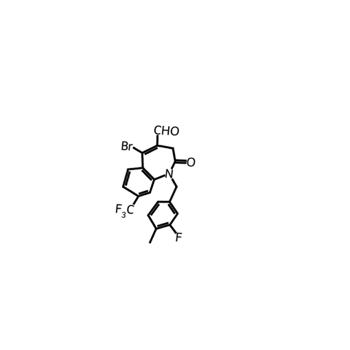 Cc1ccc(CN2C(=O)CC(C=O)=C(Br)c3ccc(C(F)(F)F)cc32)cc1F